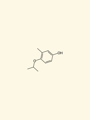 Cc1cc(O)ccc1OC(C)C